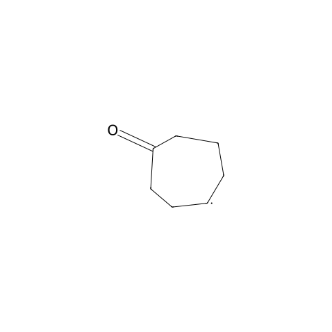 O=C1CC[CH]CCC1